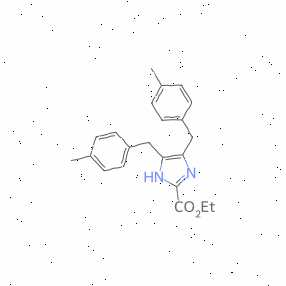 CCOC(=O)c1nc(Cc2ccc(C)cc2)c(Cc2ccc(C)cc2)[nH]1